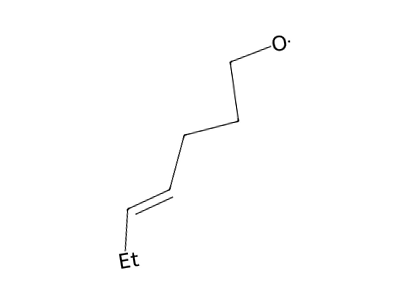 CCC=CCCC[O]